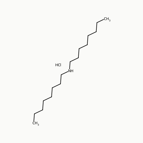 CCCCCCCCNCCCCCCCC.Cl